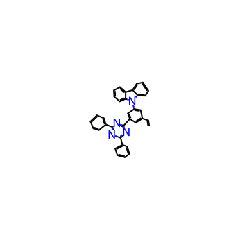 C=Cc1cc(-c2nc(-c3ccccc3)nc(-c3ccccc3)n2)cc(-n2c3ccccc3c3ccccc32)c1